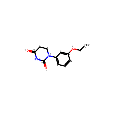 O=CCOc1cccc(N2CCC(=O)NC2=O)c1